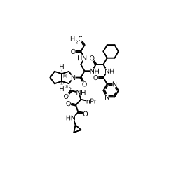 C=CC(=O)NCC(NC(=O)C(NC(=O)c1cnccn1)C1CCCCC1)C(=O)N1C[C@@H]2CCC[C@@H]2[C@H]1C(=O)NC(CCC)C(=O)C(=O)NC1CC1